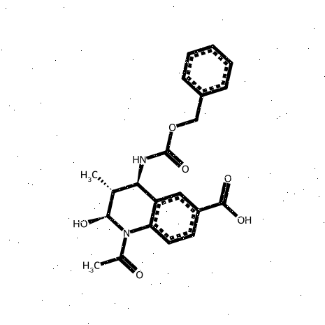 CC(=O)N1c2ccc(C(=O)O)cc2[C@H](NC(=O)OCc2ccccc2)[C@@H](C)[C@@H]1O